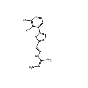 N/C(=N/[N+](=O)[O-])N/N=C/c1ccc(-c2cccc(Cl)c2Cl)o1